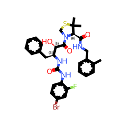 Cc1ccccc1CNC(=O)[C@H]1N(C(=O)[C@@H](O)[C@H](Cc2ccccc2)NC(=O)Nc2ccc(Br)cc2F)CSC1(C)C